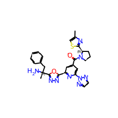 Cc1csc([C@H]2CCCN2C(=O)c2cc(-c3nnc([C@](C)(N)Cc4ccccc4)o3)nc(-n3nccn3)c2)n1